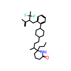 C=C(C)C(Cc1ccccc1C1CCC(CCC(C)C2(CCC)CCCC(=O)N2)CC1)C(C)(F)F